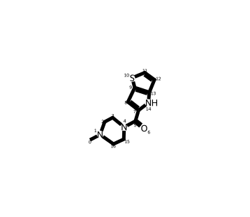 CN1CCN(C(=O)c2cc3sccc3[nH]2)CC1